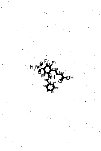 NS(=O)(=O)c1c(F)c(F)c(CCCC(=O)O)c(NCc2ccccc2)c1F